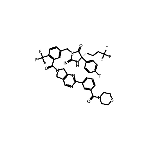 N=C1N[C@](CCCC(F)(F)F)(c2ccc(F)cc2)C(=O)N1Cc1ccc(C(F)(F)F)c(C(=O)N2Cc3cnc(-c4cccc(C(=O)N5CCSCC5)c4)nc3C2)c1